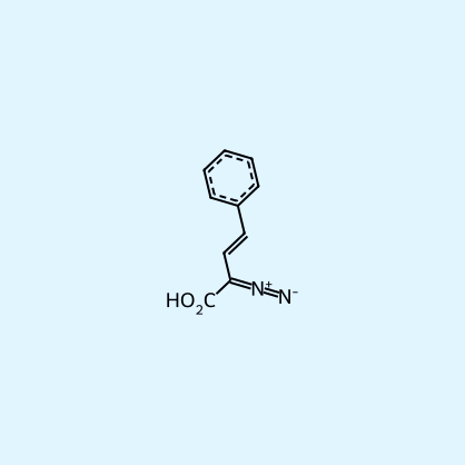 [N-]=[N+]=C(C=Cc1ccccc1)C(=O)O